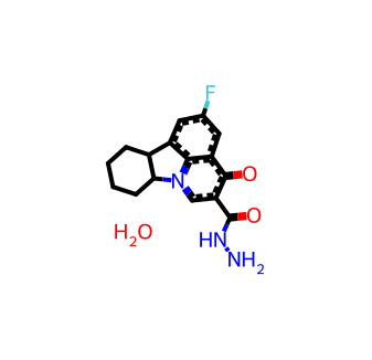 NNC(=O)c1cn2c3c(cc(F)cc3c1=O)C1CCCCC12.O